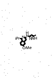 COc1ccc2c(C(C)C)nc(Nc3cc(C)[nH]n3)cc2c1